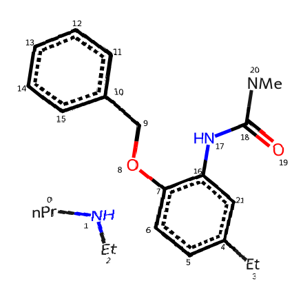 CCCNCC.CCc1ccc(OCc2ccccc2)c(NC(=O)NC)c1